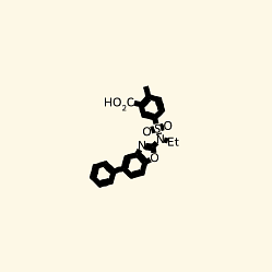 CCN(c1nc2cc(-c3ccccc3)ccc2o1)S(=O)(=O)c1ccc(C)c(C(=O)O)c1